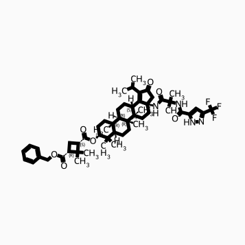 CC(C)C1=C2[C@H]3CC[C@@H]4[C@@]5(C)CC[C@H](OC(=O)[C@H]6C[C@@H](C(=O)OCc7ccccc7)C6(C)C)C(C)(C)[C@@H]5CC[C@@]4(C)[C@]3(C)CC[C@@]2(NC(=O)C(C)(C)NC(=O)c2cc(C(F)(F)F)n[nH]2)CC1=O